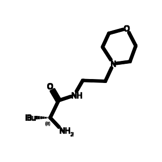 CCC(C)[C@@H](N)C(=O)NCCN1CCOCC1